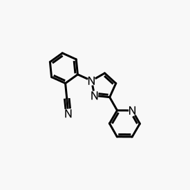 N#Cc1ccccc1-n1ccc(-c2ccccn2)n1